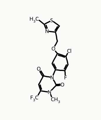 Cc1nc(COc2cc(-n3c(=O)cc(C(F)(F)F)n(C)c3=O)c(F)cc2Cl)cs1